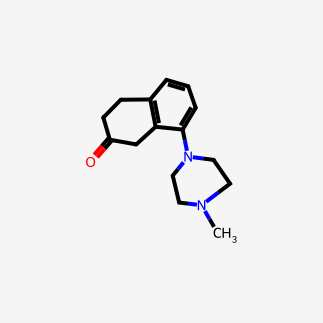 CN1CCN(c2cccc3c2CC(=O)CC3)CC1